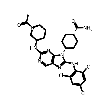 CC(=O)N1CCC[C@@H](Nc2ncc3nc(Nc4c(Cl)cc(Cl)cc4Cl)n([C@H]4CC[C@@H](C(N)=O)CC4)c3n2)C1